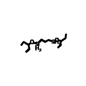 CCC(CC)O[SiH2]CCC[SiH2]OC(CC)CC